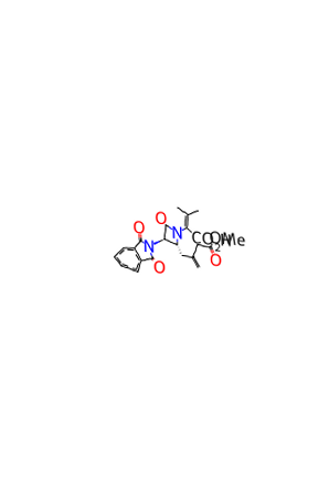 C=C(CC(=O)OC)C[C@@H]1[C@@H](N2C(=O)c3ccccc3C2=O)C(=O)N1C(C(=O)O)=C(C)C